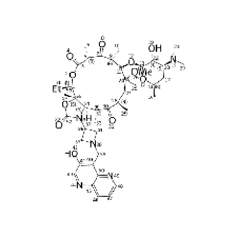 CC[C@H]1OC(=O)[C@H](C)C(=O)[C@H](C)[C@@H](O[C@@H]2O[C@H](C)C[C@H](N(C)C)[C@H]2O)[C@](C)(OC)C[C@@H](C)C(=O)[C@H](C)[C@H]2N(C3CN(Cc4c(O)cnc5cccnc45)C3)C(=O)O[C@]12C